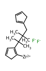 CC(C)(CC1=CC=CC1)C(C)(C)C1=[C]([Zr+2])CC=C1.[F-].[F-]